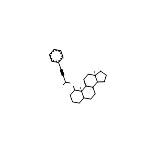 C[C@@]12CCC[C@H]1[C@@H]1CC[C@H]3CCCC(OC(O)C#Cc4ccccc4)[C@]3(C)[C@H]1CC2